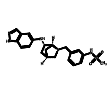 CS(=O)(=O)Nc1cccc(CN2C[C@H]3C[C@H](Nc4ccc5[nH]ncc5c4)[C@@H]2C3)c1